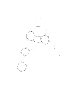 CCCCCc1cc(O)c2c3c(C(=O)OC)cccc3n(Cc3cccc(-c4ccccc4)c3)c2c1